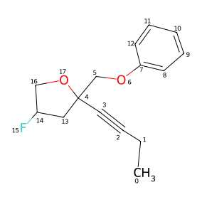 CCC#CC1(COc2ccccc2)CC(F)CO1